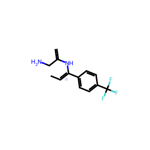 C=C(CN)N/C(=C\C)c1ccc(C(F)(F)F)cc1